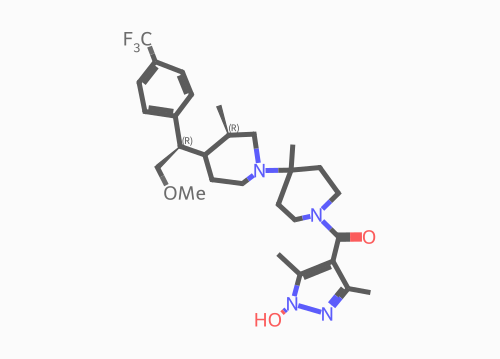 COC[C@@H](c1ccc(C(F)(F)F)cc1)C1CCN(C2(C)CCN(C(=O)c3c(C)nn(O)c3C)CC2)C[C@@H]1C